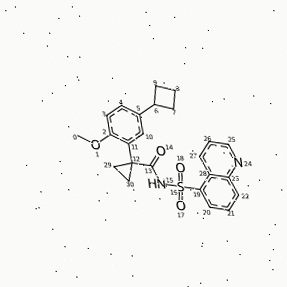 COc1ccc(C2CCC2)cc1C1(C(=O)NS(=O)(=O)c2cccc3ncccc23)CC1